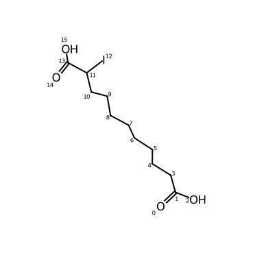 O=C(O)CCCCCCCCC(I)C(=O)O